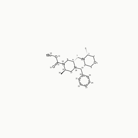 C[C@@H]1COCCN1C[C@H]1CN(C(=O)OC(C)(C)C)[C@H](C)CN1Cc1ccccc1